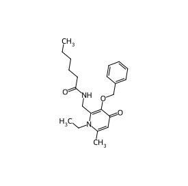 CCCCCC(=O)NCc1c(OCc2ccccc2)c(=O)cc(C)n1CC